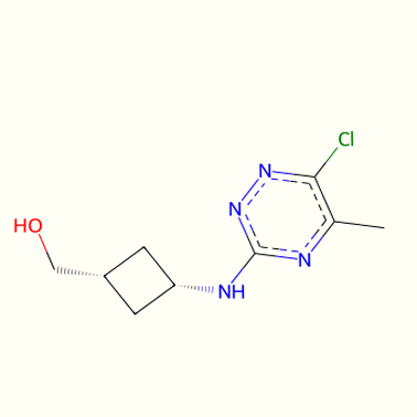 Cc1nc(N[C@H]2C[C@@H](CO)C2)nnc1Cl